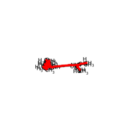 CB(O)NCCCCCO/B=N\CC(CCCCCCNC(=O)CCCCCCCCCCCCCCCCCCCCCCCNC(=O)CCC(=O)N(CCNC(=O)[C@@H](OC(C)=O)[C@H](OC(C)=O)[C@@H](OC(C)=O)[C@@H](COC(C)=O)OC(C)=O)CCNC(=O)[C@H](OC(C)=O)[C@@H](OC(C)=O)[C@H](OC(C)=O)[C@H](COC(C)=O)OC(C)=O)CN=C(B=O)CCCCNB(C)O